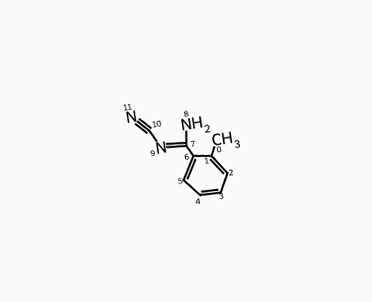 Cc1ccccc1/C(N)=N/C#N